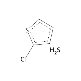 Clc1cccs1.S